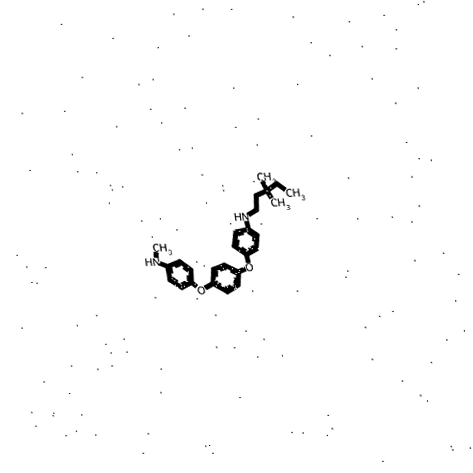 CCC(C)(C)CCNc1ccc(Oc2ccc(Oc3ccc(NC)cc3)cc2)cc1